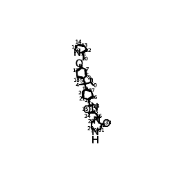 CC(C)C(C)(c1ccc(OCc2ccccn2)cc1)c1ccc(-c2nc(CN3CCNCC3=O)co2)cc1